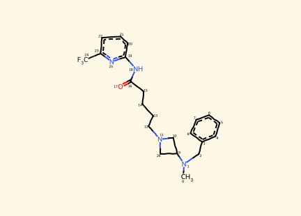 CN(Cc1ccccc1)C1CN(CCCCC(=O)Nc2cccc(C(F)(F)F)n2)C1